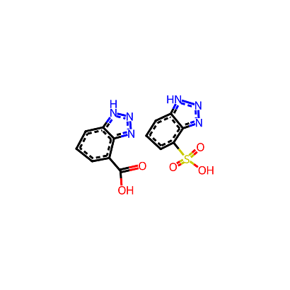 O=C(O)c1cccc2[nH]nnc12.O=S(=O)(O)c1cccc2[nH]nnc12